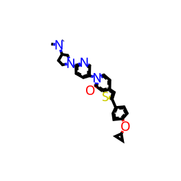 CN(C)C1CCN(c2ccc(-n3ccc4cc(-c5ccc(OC6CC6)cc5)sc4c3=O)cn2)C1